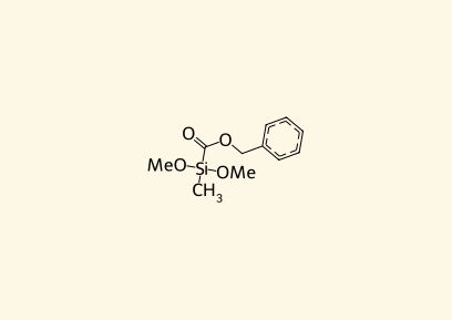 CO[Si](C)(OC)C(=O)OCc1ccccc1